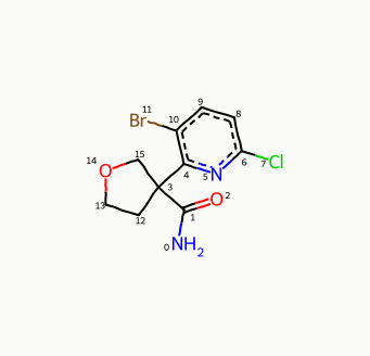 NC(=O)C1(c2nc(Cl)ccc2Br)CCOC1